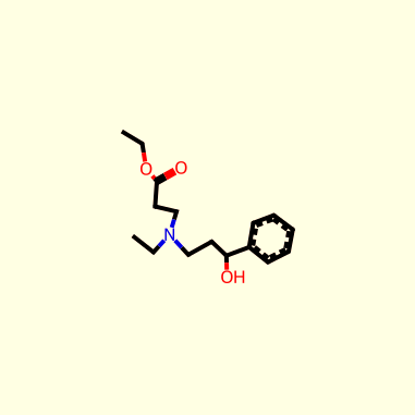 CCOC(=O)CCN(CC)CCC(O)c1ccccc1